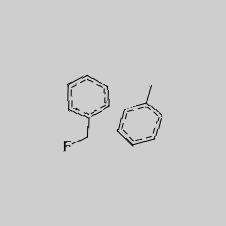 Cc1ccccc1.FCc1ccccc1